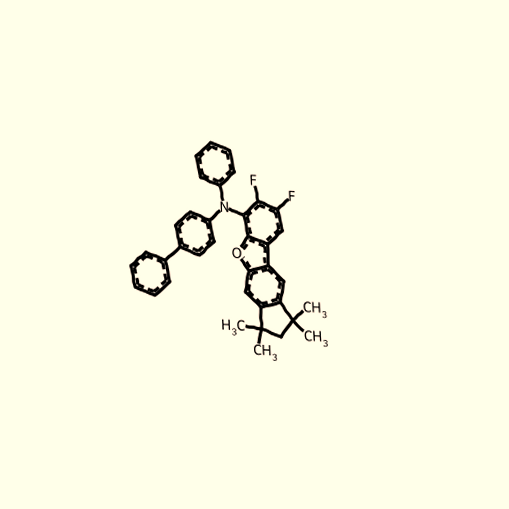 CC1(C)CC(C)(C)c2cc3c(cc21)oc1c(N(c2ccccc2)c2ccc(-c4ccccc4)cc2)c(F)c(F)cc13